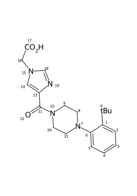 CC(C)(C)c1ccccc1N1CCN(C(=O)c2cn(CC(=O)O)cn2)CC1